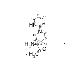 C[C@@H]1OCC2(CCN(C3=CC=CCN3)CC2)[C@@H]1N